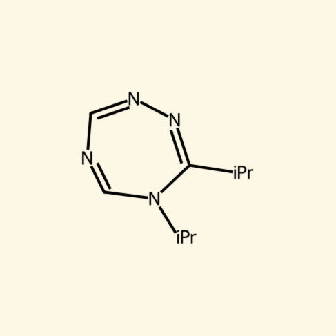 CC(C)C1=NN=CN=CN1C(C)C